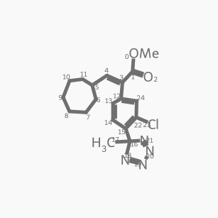 COC(=O)/C(=C/C1CCCCCC1)c1ccc(C2(C)N=NN=N2)c(Cl)c1